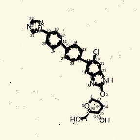 OC[C@H]1OC[C@H](Oc2nc3cc(-c4ccc(-c5ccc(-n6cncn6)cc5)cc4)c(Cl)cc3[nH]2)C[C@@H]1O